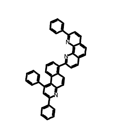 c1ccc(-c2cc(-c3ccccc3)c3c(ccc4c(-c5ccc6ccc7ccc(-c8ccccc8)nc7c6n5)cccc43)n2)cc1